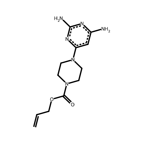 C=CCOC(=O)N1CCN(c2cc(N)nc(N)n2)CC1